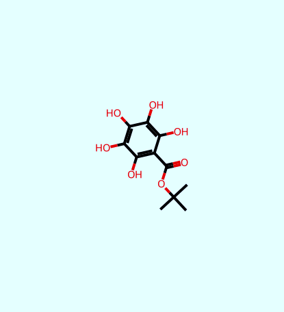 CC(C)(C)OC(=O)c1c(O)c(O)c(O)c(O)c1O